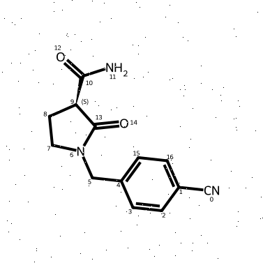 N#Cc1ccc(CN2CC[C@@H](C(N)=O)C2=O)cc1